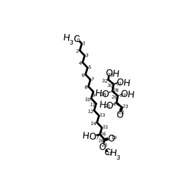 CCCCCCCCCCCCCCCCC(O)C(=O)OC.O=C[C@H](O)[C@@H](O)[C@H](O)[C@H](O)CO